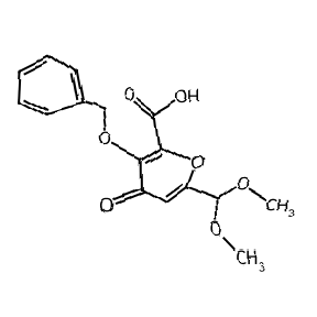 COC(OC)c1cc(=O)c(OCc2ccccc2)c(C(=O)O)o1